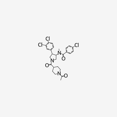 CC(=O)N1CCC(C(=O)N2CC(c3ccc(Cl)c(Cl)c3)C(N(C)C(=O)c3ccc(Cl)cc3)C2)CC1